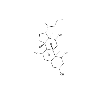 CCCC(C)[C@H]1CC[C@H]2[C@@H]3C(O)CC4CC(O)CC(O)[C@]4(C)[C@H]3CC(O)[C@]12C